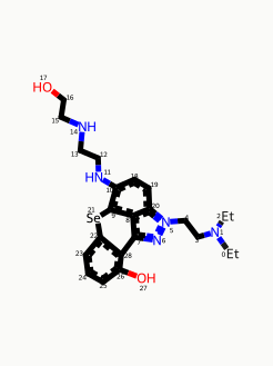 CCN(CC)CCn1nc2c3c(c(NCCNCCO)ccc31)[Se]c1cccc(O)c1-2